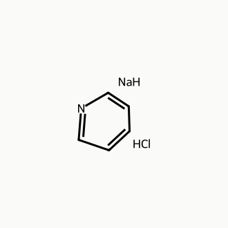 Cl.[NaH].c1ccncc1